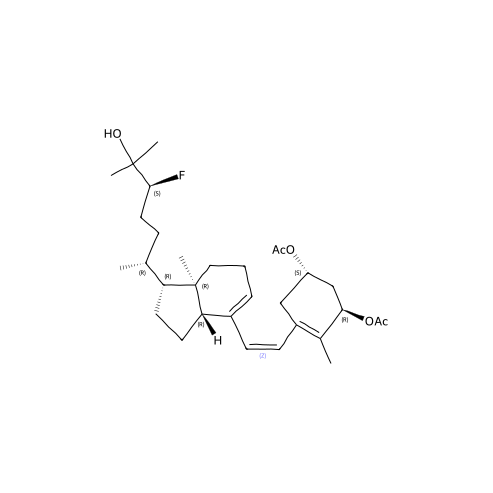 CC(=O)O[C@H]1CC(/C=C\C2=CCC[C@]3(C)[C@@H]([C@H](C)CC[C@H](F)C(C)(C)O)CC[C@@H]23)=C(C)[C@H](OC(C)=O)C1